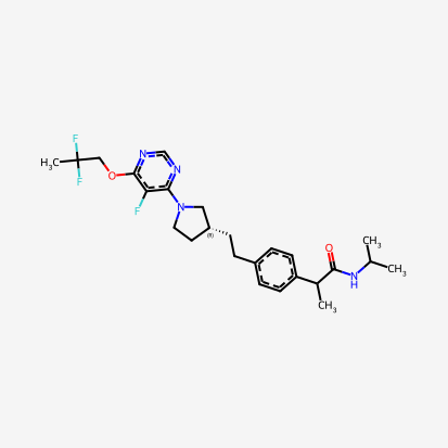 CC(C)NC(=O)C(C)c1ccc(CC[C@@H]2CCN(c3ncnc(OCC(C)(F)F)c3F)C2)cc1